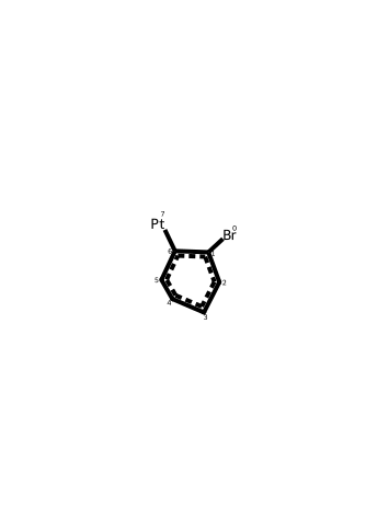 Brc1cccc[c]1[Pt]